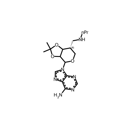 CCCNC[C@@H]1COC(n2cnc3c(N)ncnc32)C2OC(C)(C)OC21